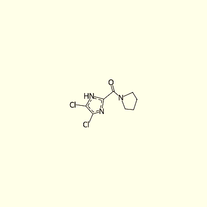 O=C(c1nc(Cl)c(Cl)[nH]1)N1CCCC1